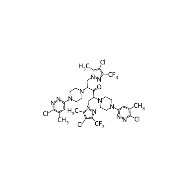 Cc1cc(N2CCN(C(Cn3nc(C(F)(F)F)c(Cl)c3C)C(=O)C(Cn3nc(C(F)(F)F)c(Cl)c3C)N3CCN(c4cc(C)c(Cl)nn4)CC3)CC2)nnc1Cl